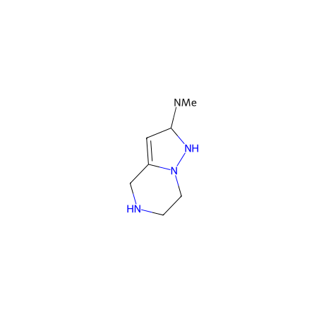 CNC1C=C2CNCCN2N1